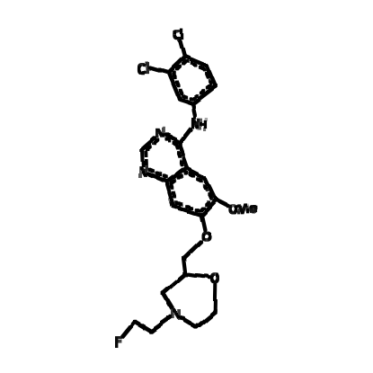 COc1cc2c(Nc3ccc(Cl)c(Cl)c3)ncnc2cc1OCC1CN(CCF)CCO1